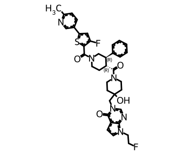 Cc1ccc(-c2cc(F)c(C(=O)N3CC[C@@H](C(=O)N4CCC(O)(Cn5cnc6c(ccn6CCF)c5=O)CC4)[C@H](c4ccccc4)C3)s2)cn1